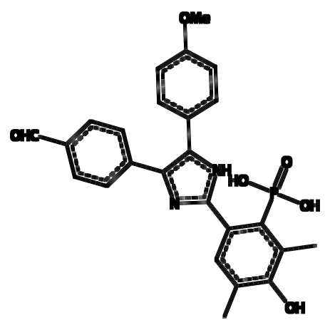 COc1ccc(-c2[nH]c(-c3cc(C)c(O)c(C)c3P(=O)(O)O)nc2-c2ccc(C=O)cc2)cc1